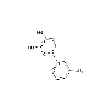 Cc1cccc(-c2ccc(O)c(O)c2)c1